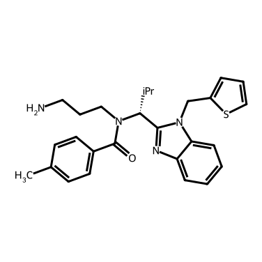 Cc1ccc(C(=O)N(CCCN)[C@@H](c2nc3ccccc3n2Cc2cccs2)C(C)C)cc1